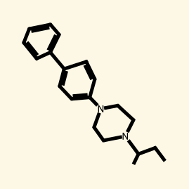 CCC(C)N1CCN(c2ccc(-c3ccccc3)cc2)CC1